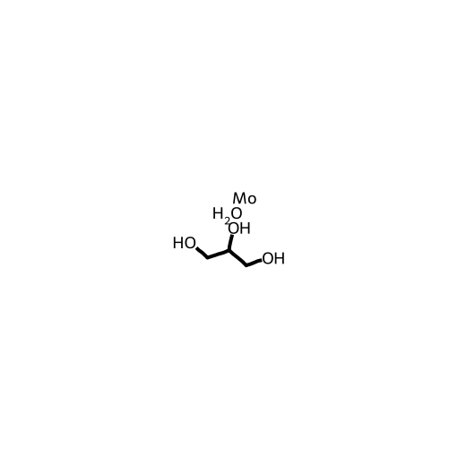 O.OCC(O)CO.[Mo]